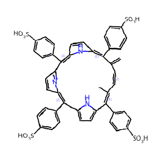 C=C1/C=C\C(C)=C(/c2ccc(S(=O)(=O)O)cc2)c2ccc([nH]2)/C(c2ccc(S(=O)(=O)O)cc2)=C2/C=CC(=N2)/C(c2ccc(S(=O)(=O)O)cc2)=c2/cc/c([nH]2)=C/1c1ccc(S(=O)(=O)O)cc1